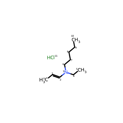 CC=CN(CC)CCCCC.Cl